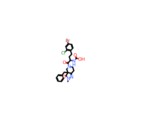 CN1N=C2CCN(C(=O)C(CCc3ccc(Br)cc3Cl)NC(=O)O)CC2(Cc2ccccc2)C1=O